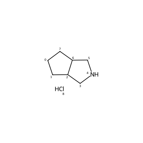 C1CC2CNCC2C1.Cl